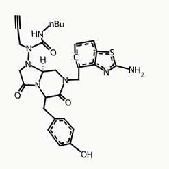 C#CCN(C(=O)NCCCC)N1CC(=O)N2C(Cc3ccc(O)cc3)C(=O)N(Cc3cccc4sc(N)nc34)C[C@@H]21